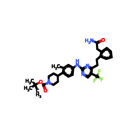 Cc1cc(Nc2ncc(C(F)(F)F)c(CCc3ccccc3CC(N)=O)n2)ccc1C1CCN(C(=O)OC(C)(C)C)CC1